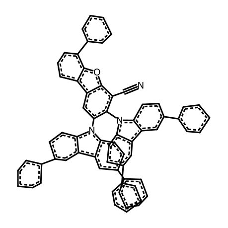 N#Cc1c(-n2c3ccc(-c4ccccc4)cc3c3cc(-c4ccccc4)ccc32)c(-n2c3ccc(-c4ccccc4)cc3c3cc(-c4ccccc4)ccc32)cc2c1oc1c(-c3ccccc3)cccc12